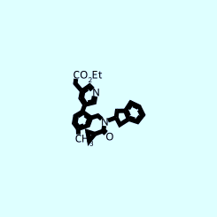 CCOC(=O)Cc1cncc(-c2ccc(C)cc2CN(C(=O)C2CC2)C2Cc3ccccc3C2)c1